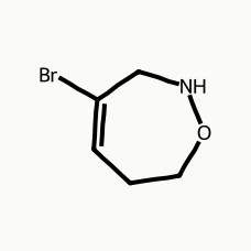 BrC1=CCCONC1